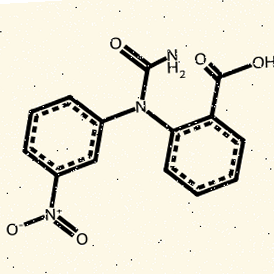 NC(=O)N(c1cccc([N+](=O)[O-])c1)c1ccccc1C(=O)O